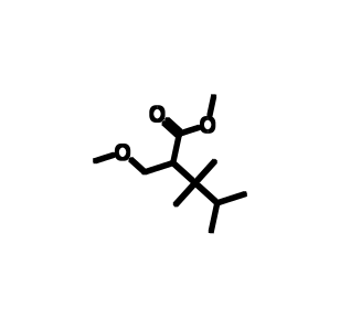 COCC(C(=O)OC)C(C)(C)C(C)C